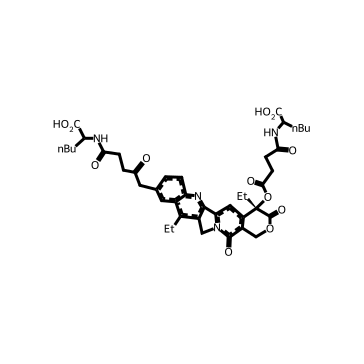 CCCCC(NC(=O)CCC(=O)Cc1ccc2nc3c(c(CC)c2c1)Cn1c-3cc2c(c1=O)COC(=O)[C@@]2(CC)OC(=O)CCC(=O)NC(CCCC)C(=O)O)C(=O)O